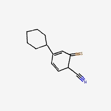 N#CC1C=CC(C2CCCCC2)=CC1=S